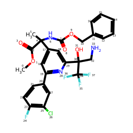 COC(=O)C(C)(NC(=O)OCc1ccccc1)c1cc(-c2ccc(F)c(Cl)c2)nc(C(O)(CN)C(F)(F)F)c1